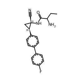 CCC(N)C(=O)N[C@@]1(C#N)C[C@@H]1c1ccc(-c2ccc(F)cc2)cc1